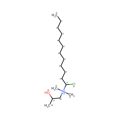 CCCCCCCCCCCC(Cl)[N+](C)(C)CC(C)O